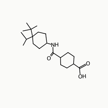 CC(C)C1(C(C)(C)C)CCC(NC(=O)C2CCC(C(=O)O)CC2)CC1